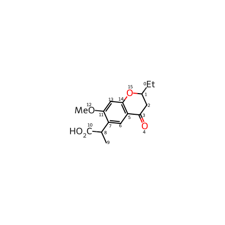 CCC1CC(=O)c2cc(C(C)C(=O)O)c(OC)cc2O1